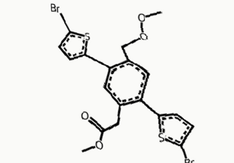 COOCc1cc(-c2ccc(Br)s2)c(CC(=O)OC)cc1-c1ccc(Br)s1